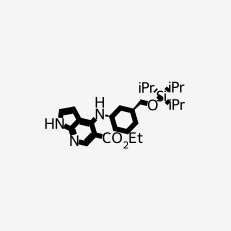 CCOC(=O)c1cnc2[nH]ccc2c1N[C@H]1CCC[C@H](CO[Si](C(C)C)(C(C)C)C(C)C)C1